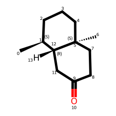 C[C@H]1CCC[C@@]2(C)CCC(=O)C[C@H]12